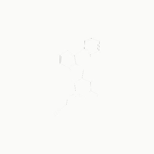 C#CCOS(=O)OC(CCC)Oc1ccccc1-c1ccccc1